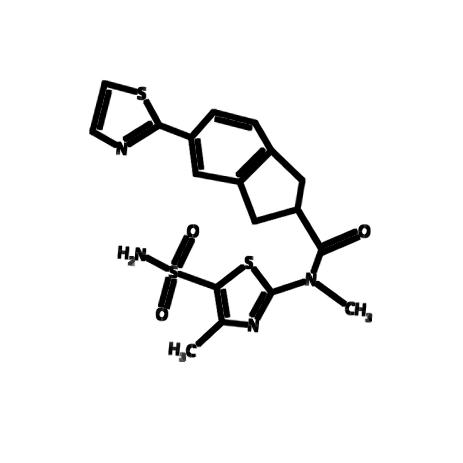 Cc1nc(N(C)C(=O)C2Cc3ccc(-c4nccs4)cc3C2)sc1S(N)(=O)=O